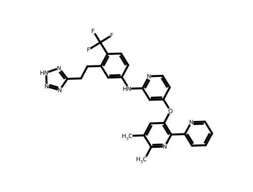 Cc1cc(Oc2ccnc(Nc3ccc(C(F)(F)F)c(CCc4nn[nH]n4)c3)c2)c(-c2ccccn2)nc1C